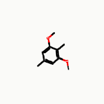 COc1cc(C)cc(OC)c1C